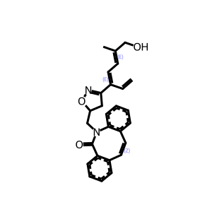 C=C/C(=C\C=C(/C)CO)C1=NOC(CN2C(=O)c3ccccc3/C=C\c3ccccc32)C1